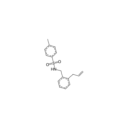 C=CCc1ccccc1CNS(=O)(=O)c1ccc(C)cc1